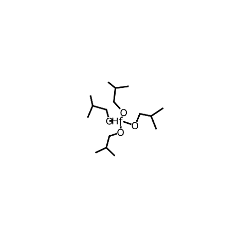 CC(C)C[O][Hf]([O]CC(C)C)([O]CC(C)C)[O]CC(C)C